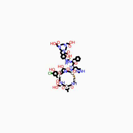 CC(C)C[C@@H]1CC(=O)[C@H](CC(=O)O)NC(=O)[C@H](Cc2ccc(O)c(Cl)c2)CC(=O)[C@@H]2C[C@@H](O)CN2C(=O)[C@@H](NC(=O)[C@@H](CC(=O)[C@H](Cc2ccccc2)NC(=S)Nc2ccc(CC3CN(CC(=O)O)CCN(CC(=O)O)CCN3CC(=O)O)cc2)Cc2c[nH]cn2)CSSC[C@@H](C)NC1=O